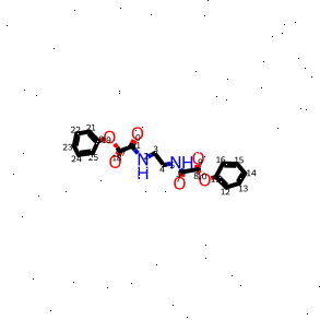 O=C(NCCNC(=O)C(=O)Oc1ccccc1)C(=O)Oc1ccccc1